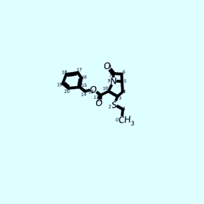 CCSC1CC2CC(=O)N2C1C(=O)OCc1ccccc1